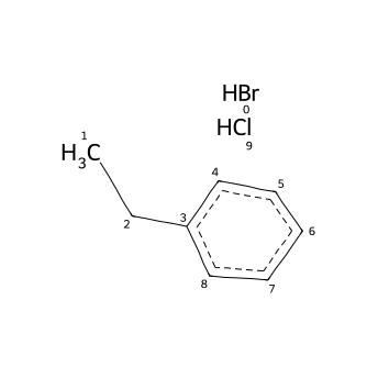 Br.CCc1ccccc1.Cl